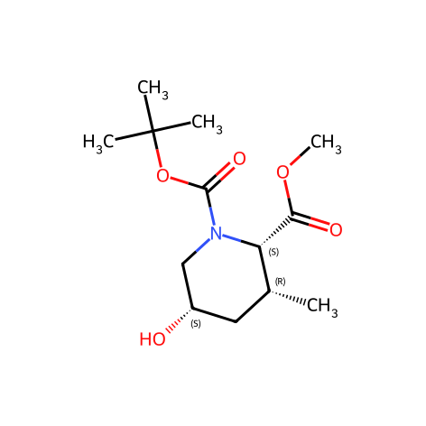 COC(=O)[C@@H]1[C@H](C)C[C@H](O)CN1C(=O)OC(C)(C)C